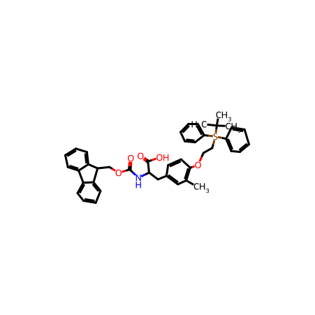 Cc1cc(CC(NC(=O)OCC2c3ccccc3-c3ccccc32)C(=O)O)ccc1OCCS(c1ccccc1)(c1ccccc1)C(C)(C)C